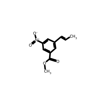 CC=Cc1cc(C(=O)OC)cc([N+](=O)[O-])c1